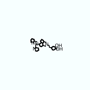 Oc1ccc(CCN2Cc3cccc4c(N(Cc5ccccn5)Cc5ccccn5)ccc(c34)C2)cc1O